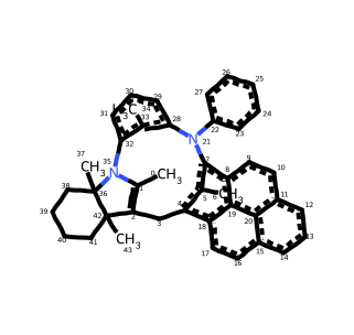 CC1=C2Cc3c(C)c(c4ccc5cccc6ccc3c4c65)N(c3ccccc3)c3cccc(c3C)N1C1(C)CCCCC21C